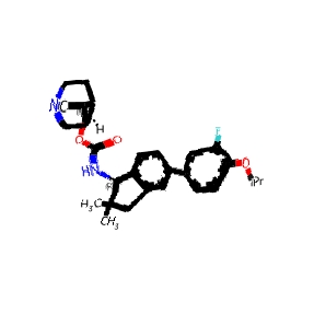 CC(C)Oc1ccc(-c2ccc3c(c2)CC(C)(C)[C@H]3NC(=O)O[C@H]2CN3CCC2CC3)cc1F